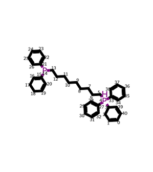 C1=CCC([PH](CCCCCCCCCP(C2=CCCC=C2)c2ccccc2)(c2ccccc2)c2ccccc2)C=C1